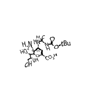 C=C(NC(=O)OC(C)(C)C)N[C@H]1C=C(C(=O)O)O[C@@H]([C@H](O)[C@H](O)CO)[C@@H]1N